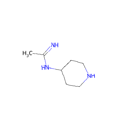 CC(=N)NC1CCNCC1